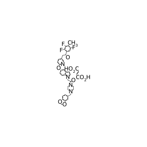 Cc1c(F)cc(C(=O)Cc2ccc(Oc3ccc4c(ccn4CC(=O)N4CCN(Cc5ccc6c(c5)OCO6)CC4)c3)nc2)c(F)c1F.O=C(O)C=CC(=O)O